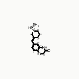 O=C1COc2ccc(C=C3CCCN(PP)C3)cc2N1